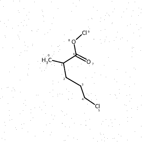 CC(CCCCl)C(=O)OCl